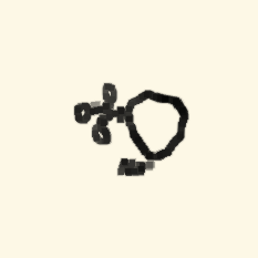 O=S(=O)([O-])N1CCCCCCCC1.[Na+]